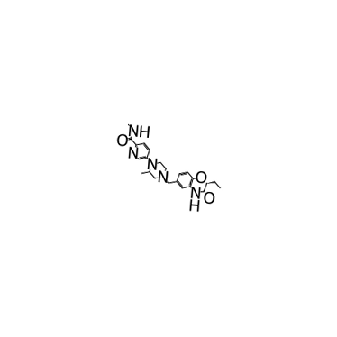 CC[C@@H]1Oc2ccc(CN3CCN(c4ccc(C(=O)NC)nc4)C(C)C3)cc2NC1=O